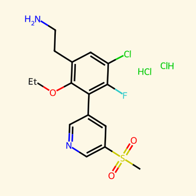 CCOc1c(CCN)cc(Cl)c(F)c1-c1cncc(S(C)(=O)=O)c1.Cl.Cl